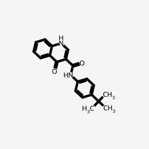 CC(C)(C)c1ccc(NC(=O)c2c[nH]c3ccccc3c2=O)cc1